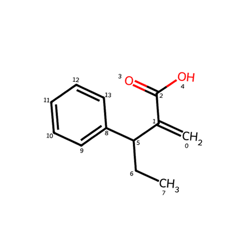 C=C(C(=O)O)C(CC)c1ccccc1